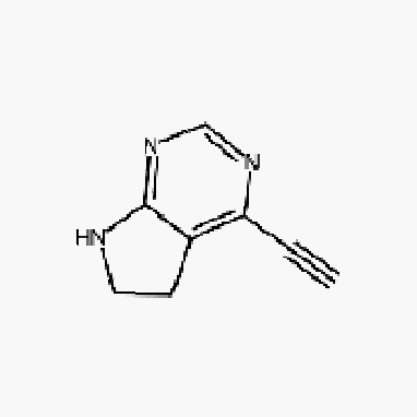 C#Cc1ncnc2c1CCN2